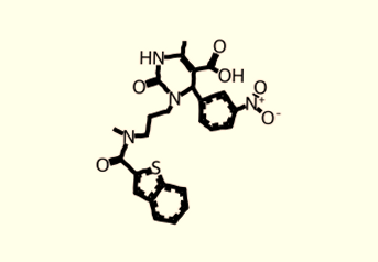 CC1=C(C(=O)O)C(c2cccc([N+](=O)[O-])c2)N(CCCN(C)C(=O)c2cc3ccccc3s2)C(=O)N1